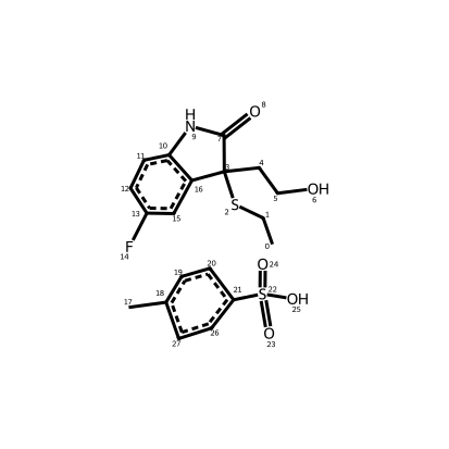 CCSC1(CCO)C(=O)Nc2ccc(F)cc21.Cc1ccc(S(=O)(=O)O)cc1